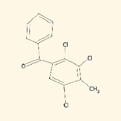 Cc1c(Cl)cc(C(=O)c2ccccc2)c(Cl)c1Cl